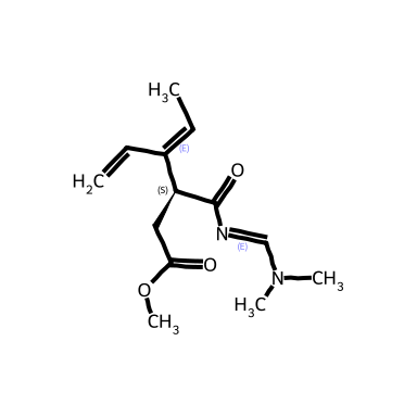 C=C/C(=C\C)[C@H](CC(=O)OC)C(=O)/N=C/N(C)C